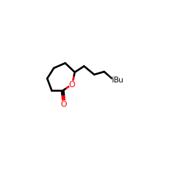 CCC(C)CCCC1CCCCC(=O)O1